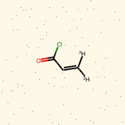 [2H]C([2H])=CC(=O)Cl